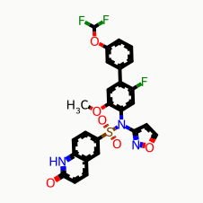 COc1cc(-c2cccc(OC(F)F)c2)c(F)cc1N(c1ccon1)S(=O)(=O)c1ccc2[nH]c(=O)ccc2c1